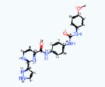 COc1ccc(NC(=O)Nc2ccc(NC(=O)c3ccnc(-c4cc[nH]n4)n3)cc2)cc1